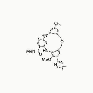 CNC(=O)c1cnc2nc1Nc1cc(cc(C3=NC(C)(C)C=N3)c1OC)COCc1cc(cc(C(F)(F)F)c1)N2